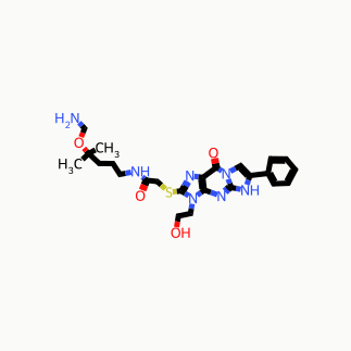 CC(C)(CCCNC(=O)CSc1nc2c(=O)n3cc(-c4ccccc4)[nH]c3nc2n1CCO)OCN